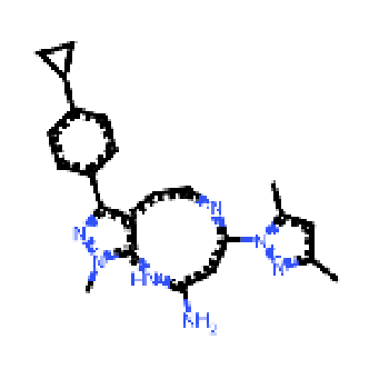 Cc1cc(C)n(-c2cc(N)[nH]c3c(ccn2)c(-c2ccc(C4CC4)cc2)nn3C)n1